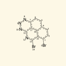 Brc1ccc2ccc3nnnc4nc(Br)c1c2c34